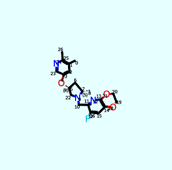 Cc1cc(O[C@@H]2C[C@H](C)N(Cc3nc4c(cc3F)OCCO4)C2)cnc1C